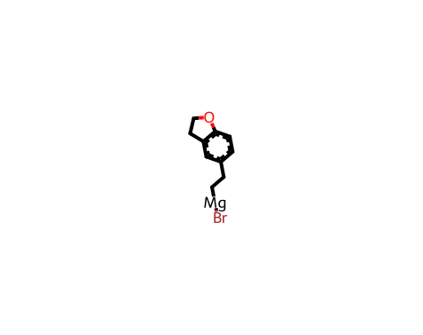 [Br][Mg][CH2]Cc1ccc2c(c1)CCO2